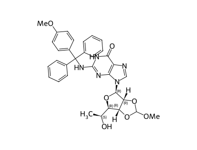 COc1ccc(C(Nc2nc3c(ncn3[C@@H]3O[C@H]([C@H](C)O)[C@H]4OC(OC)O[C@H]43)c(=O)[nH]2)(c2ccccc2)c2ccccc2)cc1